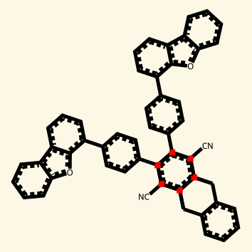 N#Cc1c(-c2ccc(-c3cccc4c3oc3ccccc34)cc2)ccc2c1C1c3ccccc3C2c2c1ccc(-c1ccc(-c3cccc4c3oc3ccccc34)cc1)c2C#N